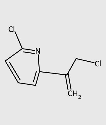 C=C(CCl)c1cccc(Cl)n1